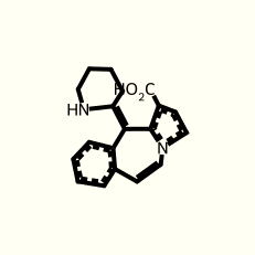 O=C(O)c1ccn2c1C(=C1CCCCN1)c1ccccc1C=C2